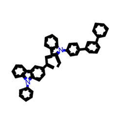 C=C(/C=c1\c(=C/C)n(-c2ccc(-c3cccc(-c4ccccc4)c3)cc2)c2ccccc12)c1ccc2c(c1)c1ccccc1n2-c1ccccc1